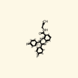 C#CCNC(=O)c1cccc2nc(-c3ccc(F)cc3)c(-c3ccc(F)cc3)nc12